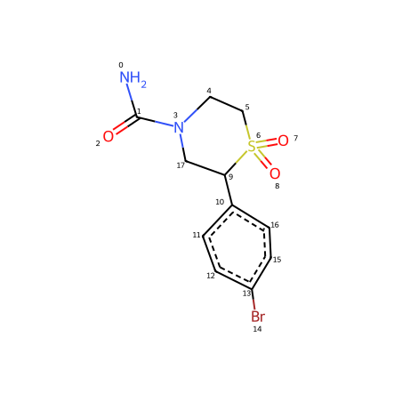 NC(=O)N1CCS(=O)(=O)C(c2ccc(Br)cc2)C1